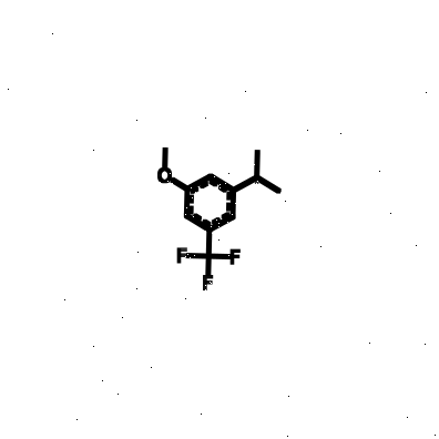 COc1cc([C](C)C)cc(C(F)(F)F)c1